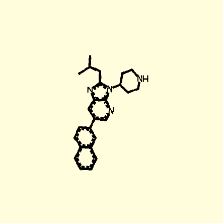 CC(C)Cc1nc2cc(-c3ccc4ccccc4c3)cnc2n1C1CCNCC1